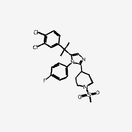 CC(C)(c1ccc(Cl)c(Cl)c1)c1cnc(C2CCN(S(C)(=O)=O)CC2)n1-c1ccc(F)cc1